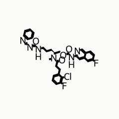 CN(C(=O)CCc1cccc(F)c1Cl)[C@@H](CCCN/C(=N/C#N)Oc1ccccc1)COC(=O)Nc1cc2cc(F)ccc2cn1